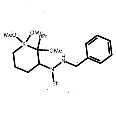 CCCC1(OC)C(N(CC)NCc2ccccc2)CCC[Si]1(OC)OC